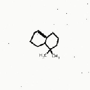 CC1(C)CCCC2=CCCCC21